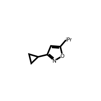 CC(C)c1cc(C2CC2)no1